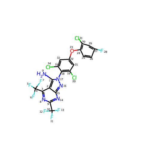 Nc1c2c(C(F)(F)F)nc(C(F)(F)F)nc2nn1-c1c(Cl)cc(Oc2ccc(F)cc2Cl)cc1Cl